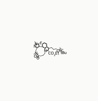 CCOC(=O)c1c(CCCO[Si](C)(C)C(C)(C)C)c2ccc(F)c3c2n1CCCS(=O)(=O)N(C)Cc1nn(C)c(C)c1-3